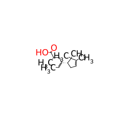 CC=C(CC(C)C(=O)O)[C@H]1CC=C(C)C1(C)C